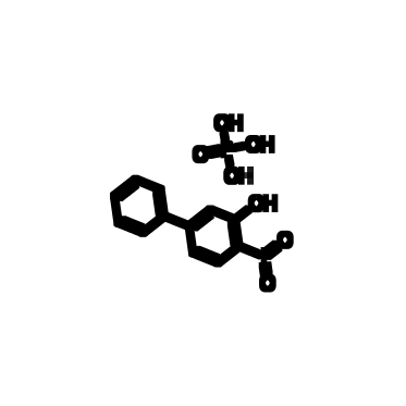 O=I(=O)c1ccc(-c2ccccc2)cc1O.O=P(O)(O)O